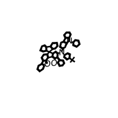 CC(C)(C)c1ccc(N(c2ccc3c4ccccc4n(-c4ccccc4)c3c2)c2cc3c(c4oc5ccccc5c24)-c2c(ccc4c2oc2ccccc24)C32c3ccccc3-c3ccccc32)cc1